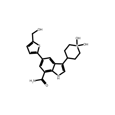 NC(=O)c1cc(-c2ccc(CO)s2)cc2c(C3CCS(O)(O)CC3)c[nH]c12